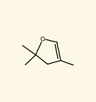 CC1=COC(C)(C)C1